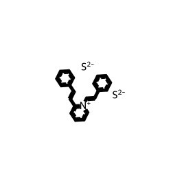 C(=Cc1cccc[n+]1C=Cc1ccccc1)c1ccccc1.[S-2].[S-2]